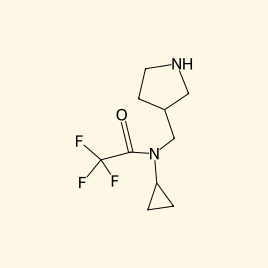 O=C(N(CC1CCNC1)C1CC1)C(F)(F)F